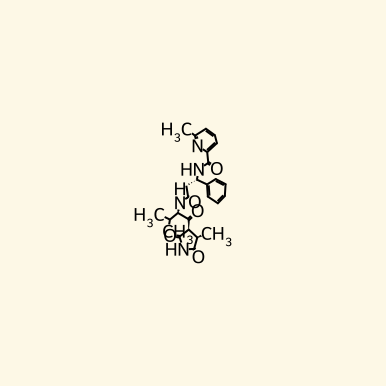 Cc1cccc(C(=O)N[C@@H](CC(=O)N[C@@H](C(=O)[C@@H]2C(=O)NC(=O)[C@@H]2C)C(C)C)c2ccccc2)n1